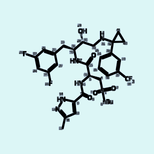 CCCCS(=O)(=O)C[C@@H](NC(=O)c1cc(C)n[nH]1)C(=O)N[C@@H](Cc1cc(F)cc(F)c1)[C@H](O)CNC1(c2cccc(C(F)(F)F)c2)CC1